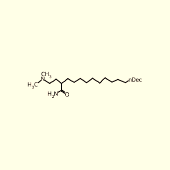 CCCCCCCCCCCCCCCCCCCCC(CCN(C)C)C(N)=O